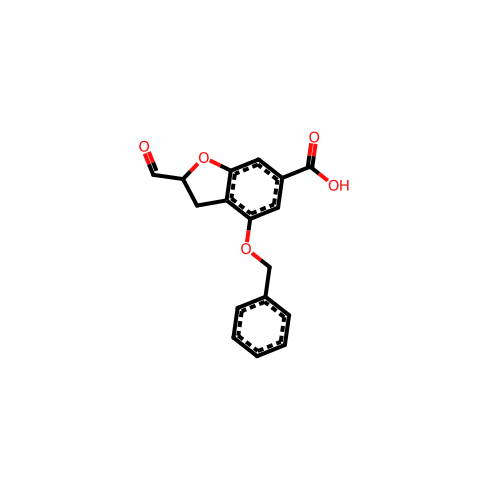 O=CC1Cc2c(OCc3ccccc3)cc(C(=O)O)cc2O1